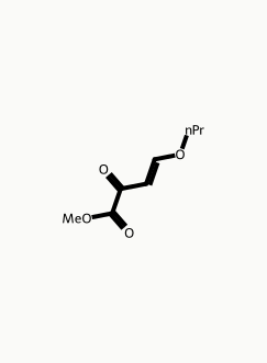 CCCOC=CC(=O)C(=O)OC